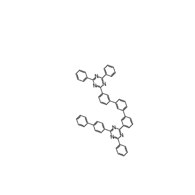 c1ccc(-c2ccc(-c3nc(-c4ccccc4)nc(-c4cccc(-c5cccc(-c6cccc(-c7nc(-c8ccccc8)nc(-c8ccccc8)n7)c6)c5)c4)n3)cc2)cc1